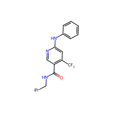 CC(C)CNC(=O)c1cnc(Nc2ccccc2)cc1C(F)(F)F